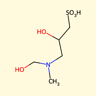 CN(CO)CC(O)CS(=O)(=O)O